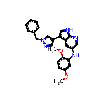 COc1ccc(OC)c(Nc2cnc3[nH]cc(-c4cnn(Cc5ccccc5)c4)c3c2)c1